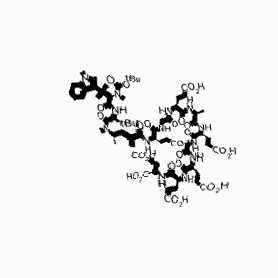 C/C(=C\[C@H](C)N(C)C(=O)[C@@H](NC(=O)[C@@H](N(C)C(=O)OC(C)(C)C)C(C)(C)c1cn(C)c2ccccc12)C(C)(C)C)C(=O)N[C@@H](CCC(=O)O)C(=O)NCC(=O)N[C@@H](CCC(=O)O)C(=O)N[C@@H](C)C(=O)N[C@@H](CCC(=O)O)C(=O)N[C@@H](C)C(=O)N[C@@H](CCC(=O)O)C(=O)N[C@@H](CCC(=O)O)C(=O)N[C@@H](CCC(=O)O)C(=O)O